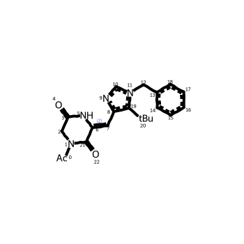 CC(=O)N1CC(=O)N/C(=C\c2ncn(Cc3ccccc3)c2C(C)(C)C)C1=O